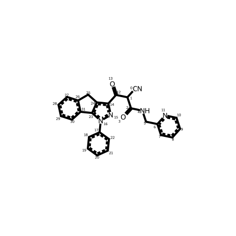 N#CC(C(=O)NCc1ccccn1)C(=O)c1nn(-c2ccccc2)c2c1Cc1ccccc1-2